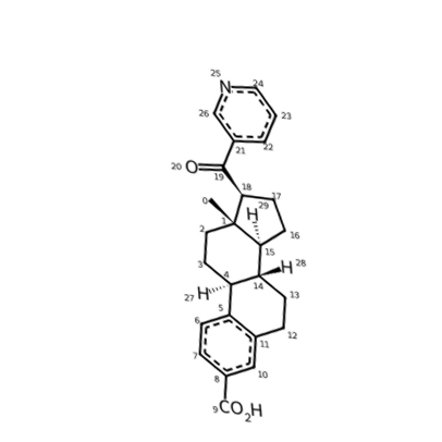 C[C@]12CC[C@@H]3c4ccc(C(=O)O)cc4CC[C@H]3[C@@H]1CC[C@@H]2C(=O)c1cccnc1